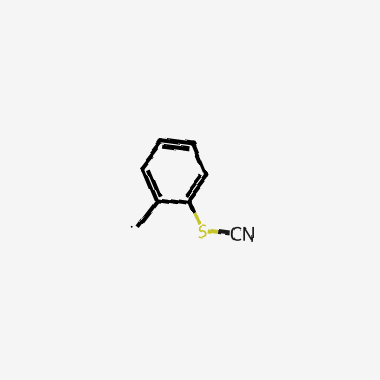 [CH2]c1ccccc1SC#N